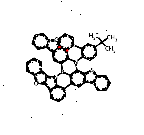 CC(C)(C)c1ccc(N2c3cc4oc5ccccc5c4cc3B3c4c(cc5c(sc6ccccc65)c42)-c2cccc4c5oc6ccccc6c5n3c24)c(-c2ccccc2)c1